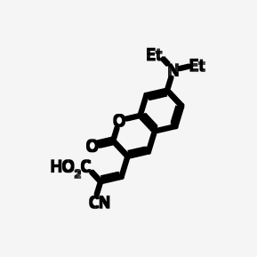 CCN(CC)c1ccc2cc(/C=C(/C#N)C(=O)O)c(=O)oc2c1